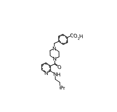 CC(C)CCNc1ncccc1C(=O)N1CCN(Cc2ccc(C(=O)O)cc2)CC1